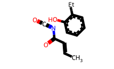 CC=CC(=O)N=C=O.CCc1ccccc1O